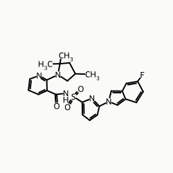 CC1CN(c2ncccc2C(=O)NS(=O)(=O)c2cccc(-n3cc4ccc(F)cc4c3)n2)C(C)(C)C1